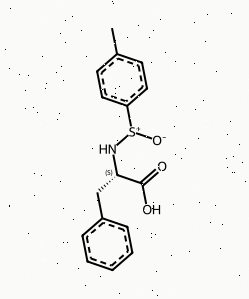 Cc1ccc([S+]([O-])N[C@@H](Cc2ccccc2)C(=O)O)cc1